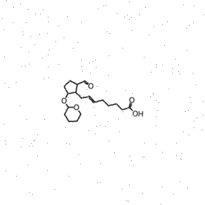 O=CC1CCC(OC2CCCCO2)C1CC=CCCCCC(=O)O